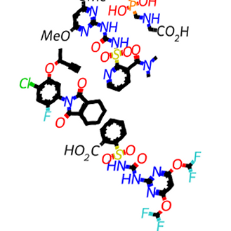 C#CC(C)Oc1cc(N2C(=O)C3=C(CCCC3)C2=O)c(F)cc1Cl.COc1cc(OC)nc(NC(=O)NS(=O)(=O)c2ncccc2C(=O)N(C)C)n1.O=C(Nc1nc(OC(F)F)cc(OC(F)F)n1)NS(=O)(=O)c1ccccc1C(=O)O.O=C(O)CNCP(=O)(O)O